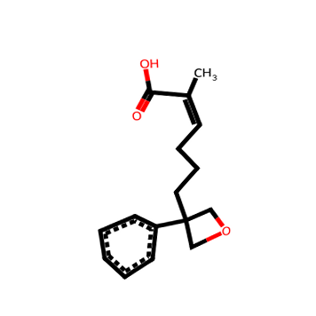 CC(=CCCCC1(c2ccccc2)COC1)C(=O)O